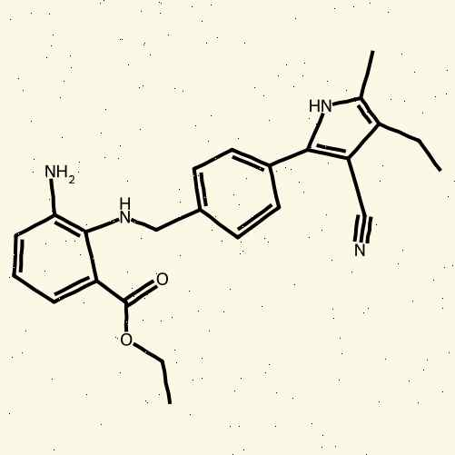 CCOC(=O)c1cccc(N)c1NCc1ccc(-c2[nH]c(C)c(CC)c2C#N)cc1